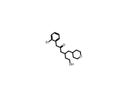 CCc1ccccc1CC(=O)CC(CCO)CC1CCOCC1